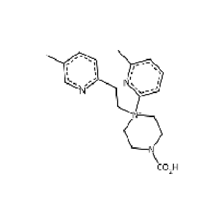 Cc1ccc(CC[N+]2(c3cccc(C)n3)CCN(C(=O)O)CC2)nc1